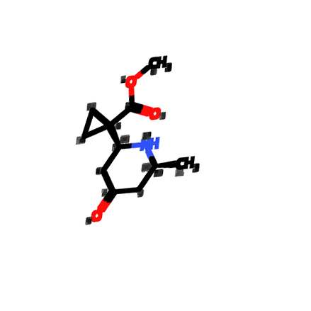 COC(=O)C1([C@@H]2CC(=O)C[C@H](C)N2)CC1